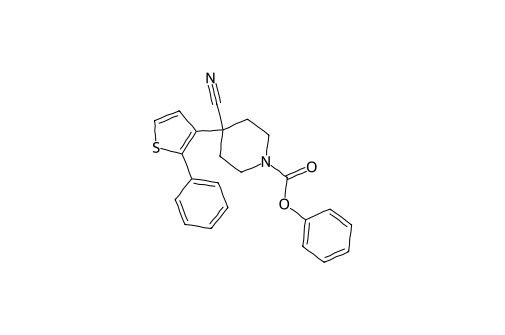 N#CC1(c2ccsc2-c2ccccc2)CCN(C(=O)Oc2ccccc2)CC1